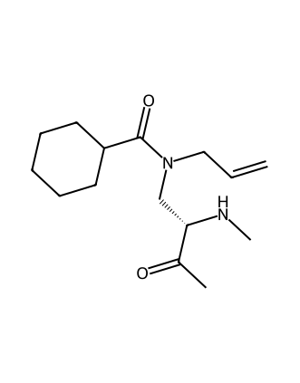 C=CCN(C[C@H](NC)C(C)=O)C(=O)C1CCCCC1